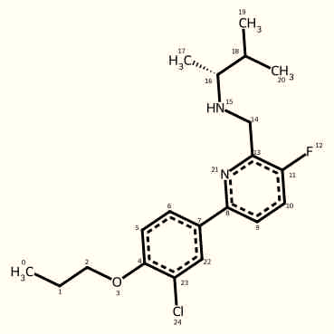 CCCOc1ccc(-c2ccc(F)c(CN[C@H](C)C(C)C)n2)cc1Cl